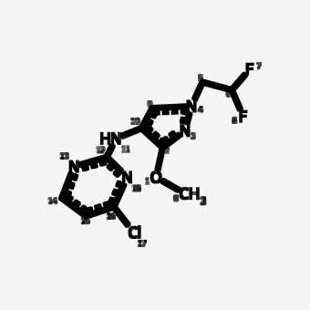 COc1nn(CC(F)F)cc1Nc1nccc(Cl)n1